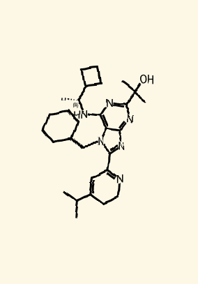 CC(C)C1=CC(c2nc3nc(C(C)(C)O)nc(N[C@H](C)C4CCC4)c3n2CC2CCCCC2)=NCC1